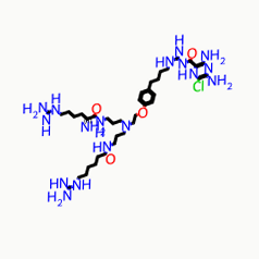 N=C(N)NCCCCCC(=O)NCCCN(CCCNC(=O)[C@H](N)CCCCNC(=N)N)CCOc1ccc(CCCCNC(=N)NC(=O)c2nc(Cl)c(N)nc2N)cc1